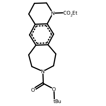 CCOC(=O)N1CCCc2cc3c(cc21)CCN(C(=O)OC(C)(C)C)CC3